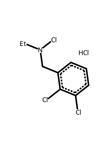 CCN(Cl)Cc1cccc(Cl)c1Cl.Cl